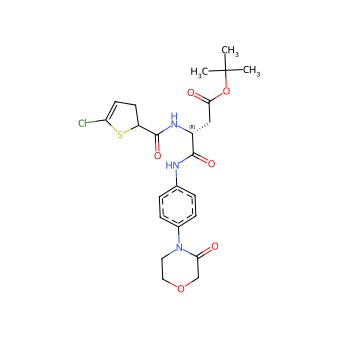 CC(C)(C)OC(=O)C[C@@H](NC(=O)C1CC=C(Cl)S1)C(=O)Nc1ccc(N2CCOCC2=O)cc1